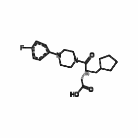 O=C(O)C[C@@H](CC1CCCC1)C(=O)N1CCN(c2ccc(F)cc2)CC1